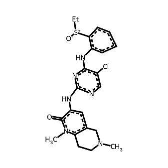 CC[S+]([O-])c1ccccc1Nc1nc(Nc2cc3c(n(C)c2=O)CCN(C)C3)ncc1Cl